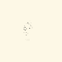 Cc1nc(Sc2cc(C=C=O)ccc2-c2ncc(CCN)cn2)cc(N2CCOCC2)n1